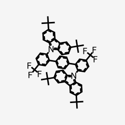 CC(C)(C)c1ccc2c(c1)c1cc(C(C)(C)C)ccc1n2-c1ccc(C(F)(F)F)cc1-c1ccc(-c2cc(C(F)(F)F)ccc2-n2c3ccc(C(C)(C)C)cc3c3cc(C(C)(C)C)ccc32)cc1